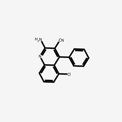 N#Cc1c(N)nc2cccc(Cl)c2c1-c1ccccc1